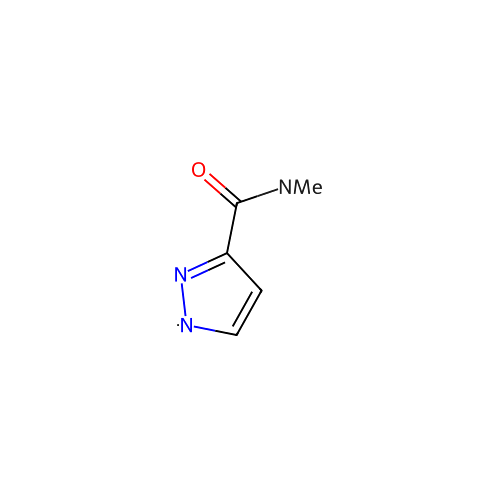 CNC(=O)C1=N[N]C=C1